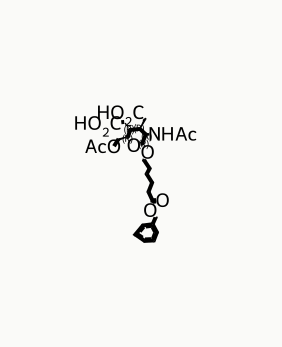 CC(=O)N[C@H]1[C@H](OCCCCCC(=O)OCc2ccccc2)O[C@@H](COC(C)=O)[C@H](CC(=O)O)[C@H]1CC(=O)O